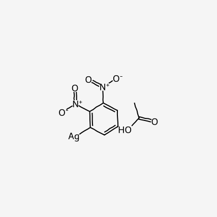 CC(=O)O.O=[N+]([O-])c1ccc[c]([Ag])c1[N+](=O)[O-]